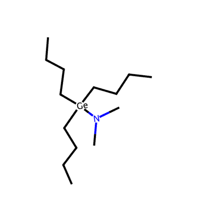 CCC[CH2][Ge]([CH2]CCC)([CH2]CCC)[N](C)C